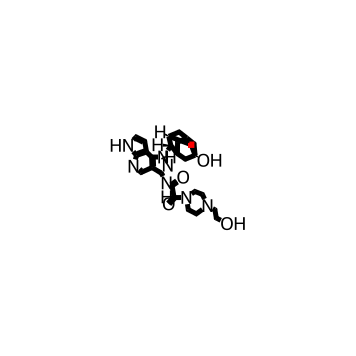 O=C(Nc1nn([C@H]2[C@@H]3CC4C[C@H]2C[C@@](O)(C4)C3)c2c1cnc1[nH]ccc12)C(=O)N1CCN(CCO)CC1